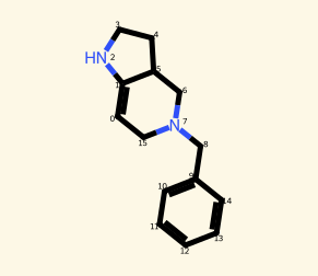 C1=C2NCCC2CN(Cc2ccccc2)C1